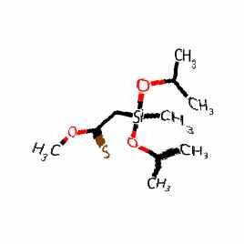 COC(=S)C[Si](C)(OC(C)C)OC(C)C